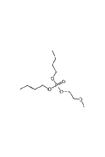 CCCCOP(=O)(OCCCC)OCCOC